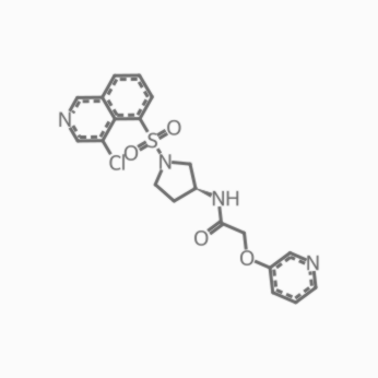 O=C(COc1cccnc1)N[C@H]1CCN(S(=O)(=O)c2cccc3cncc(Cl)c23)C1